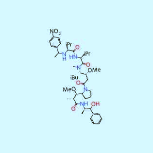 CC[C@H](C)[C@@H]([C@@H](CC(=O)N1CCC[C@H]1[C@H](OC)[C@@H](C)C(=O)N[C@H](C)[C@@H](O)c1ccccc1)OC)N(C)C(=O)[C@@H](NC(=O)[C@@H](NC(C)c1ccc([N+](=O)[O-])cc1)C(C)C)C(C)C